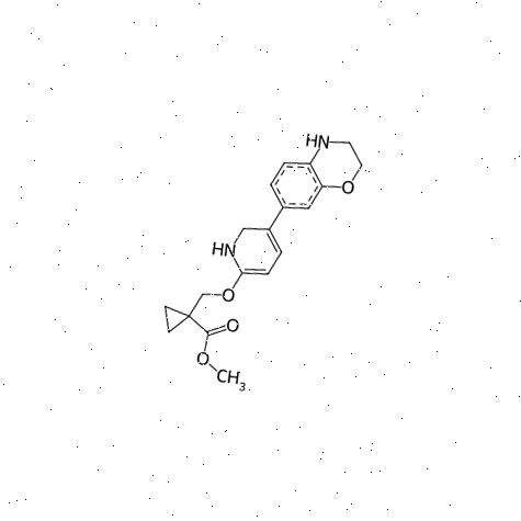 COC(=O)C1(COC2=CC=C(c3ccc4c(c3)OCCN4)CN2)CC1